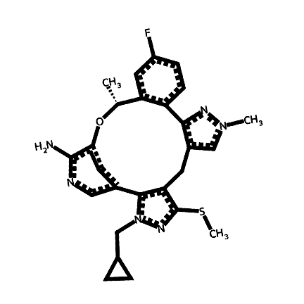 CSc1nn(CC2CC2)c2c1Cc1cn(C)nc1-c1ccc(F)cc1[C@@H](C)Oc1cc-2cnc1N